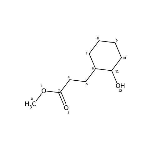 COC(=O)CCC1CCCCC1O